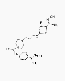 CCC(Oc1ccc(C(N)=NO)cc1)N1CCC(CCCOc2ccc(C(N)=NO)c(F)c2)CC1